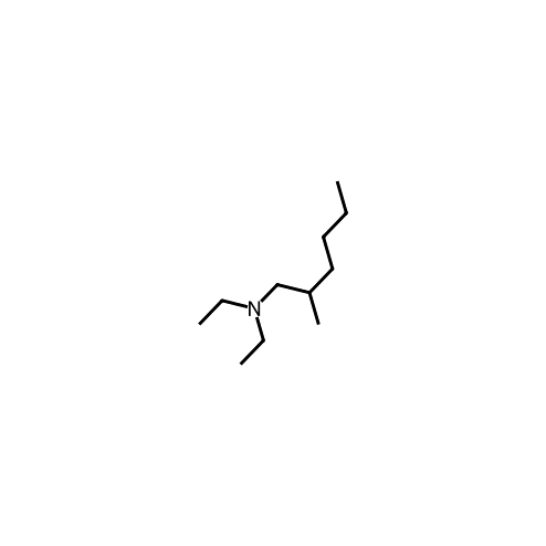 CCCCC(C)CN(CC)CC